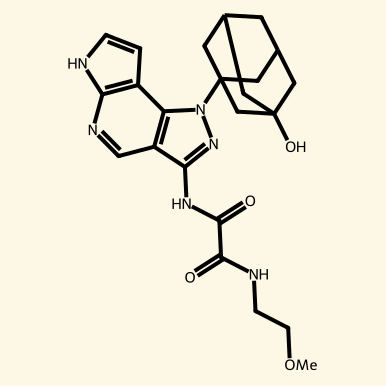 COCCNC(=O)C(=O)Nc1nn(C23CC4CC(CC(O)(C4)C2)C3)c2c1cnc1[nH]ccc12